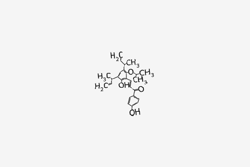 C=CC(C)c1cc(C(C)C=C)c(OC(C)C)c(C=CC(=O)c2ccc(O)cc2)c1O